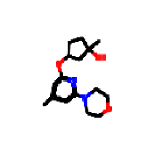 Cc1cc(OC2CCC(C)(O)C2)nc(N2CCOCC2)c1